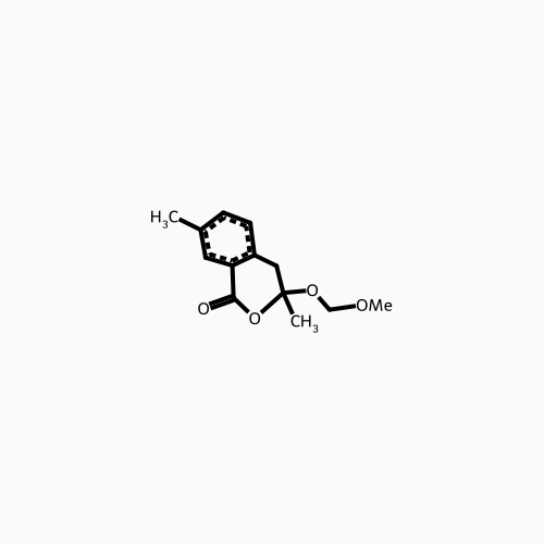 COCOC1(C)Cc2ccc(C)cc2C(=O)O1